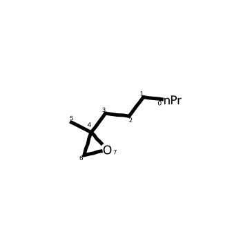 [CH2]CCCCCC1(C)CO1